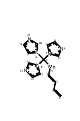 C=CC=[CH][Mn][C](n1ccnc1)(n1ccnc1)n1ccnc1